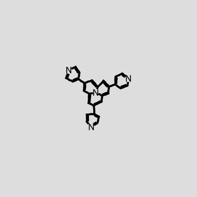 C1=C(c2ccncc2)C=C2C=C(c3ccncc3)C=C3C=C(c4ccncc4)C=C1N23